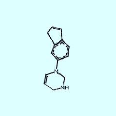 C1=CN(c2ccc3c(c2)CC=C3)CNC1